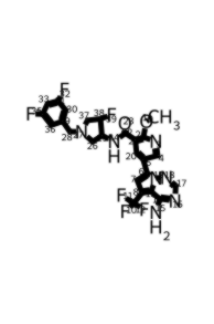 COc1ncc(-c2cc(C(F)(F)F)c3c(N)ncnn23)cc1C(=O)NC1CN(Cc2cc(F)cc(F)c2)CC1F